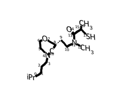 CC(C)CCCN1CCO[C@H](CCN(C)C(=O)C(C)S)C1